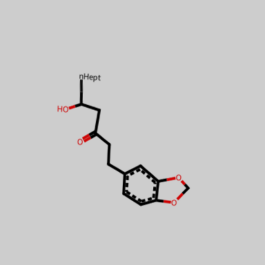 CCCCCCCC(O)CC(=O)CCc1ccc2c(c1)OCO2